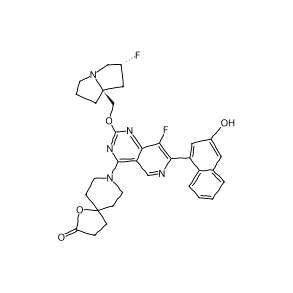 O=C1CCC2(CCN(c3nc(OC[C@@]45CCCN4C[C@H](F)C5)nc4c(F)c(-c5cc(O)cc6ccccc56)ncc34)CC2)O1